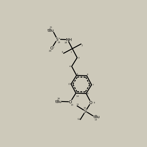 CC(C)(CCc1ccc(O[Si](C)(C)C(C)(C)C)c(OC(C)(C)C)c1)N[S+]([O-])C(C)(C)C